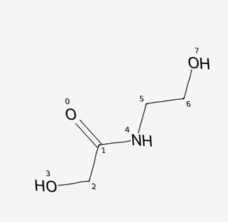 O=C(CO)NCCO